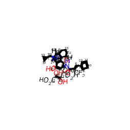 CC(=O)OC1(NC(=O)C(=Cc2ccccc2)C(F)(F)F)C=C(O)C2=C3C1O[C@H]1CCC[C@H]4[C@@H](C2)[N+](C)(CC2CC2)CC[C@]314.O=C(O)C(O)C(O)C(=O)O